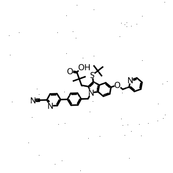 CC(C)(C)Sc1c(CC(C)(C)C(=O)O)n(Cc2ccc(-c3ccc(C#N)nc3)cc2)c2ccc(OCc3ccccn3)cc12